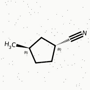 C[C@@H]1CC[C@@H](C#N)C1